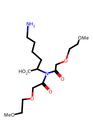 COCCOCC(=O)N(C(=O)COCCOC)C(CCCCN)C(=O)O